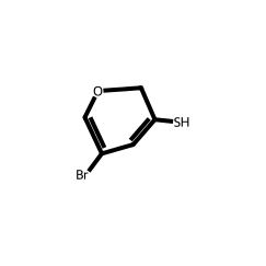 SC1=CC(Br)=COC1